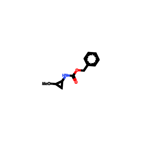 COC1CC1NC(=O)OCc1ccccc1